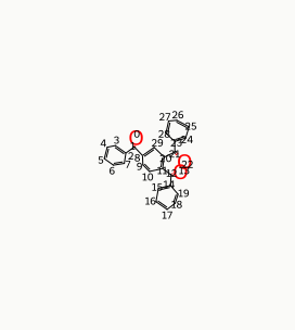 O=C(c1ccccc1)c1ccc(C(=O)c2ccccc2)c(C(=O)c2ccccc2)c1